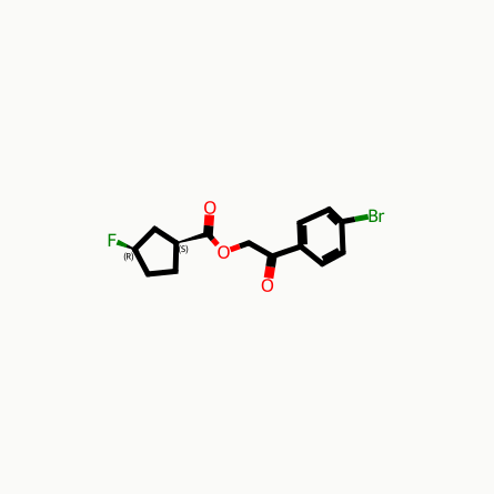 O=C(COC(=O)[C@H]1CC[C@@H](F)C1)c1ccc(Br)cc1